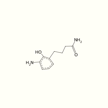 NC(=O)CCCc1cccc(N)c1O